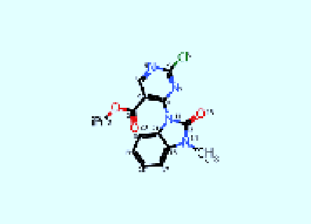 CC(C)OC(=O)c1cnc(Cl)nc1-n1c(=O)n(C)c2ccccc21